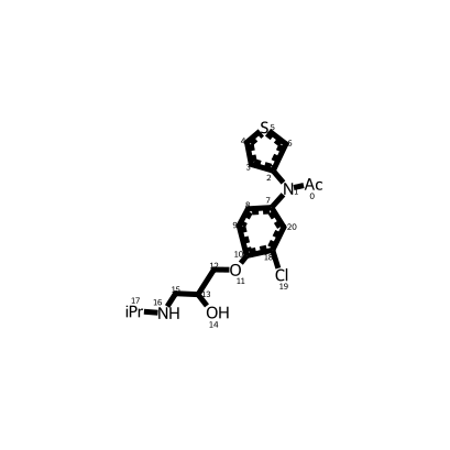 CC(=O)N(c1ccsc1)c1ccc(OCC(O)CNC(C)C)c(Cl)c1